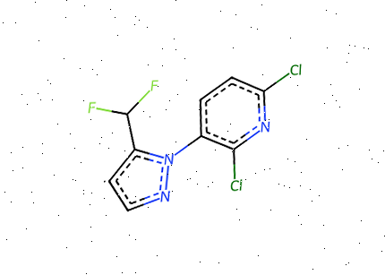 FC(F)c1[c]cnn1-c1ccc(Cl)nc1Cl